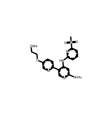 COCCOc1ccc(-c2cnc(NC(C)=O)cc2Nc2cccc(S(C)(=O)=O)n2)nc1